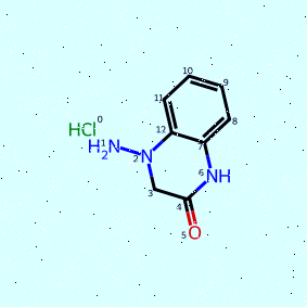 Cl.NN1CC(=O)Nc2ccccc21